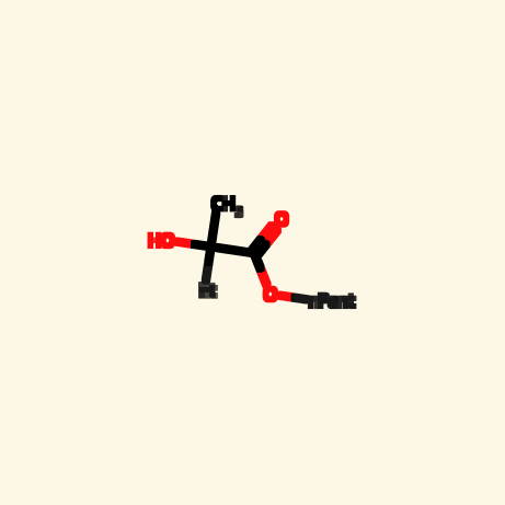 CCCCCOC(=O)C(C)(O)CC